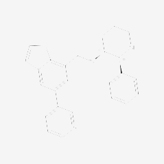 c1ccc([C@@H]2NCCC[C@@H]2NCc2cc(-c3cccnc3)cc3ccoc23)cc1